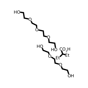 CCC(CC)C(=O)O.OCCOCCOCCO.OCCOCCOCCOCCO